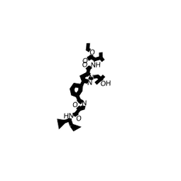 CCOC(=O)[C@@H](NC(=O)c1cc(-c2cccc(-c3ncc(C(=O)NC(C4CC4)C4CC4)o3)c2)nn1CC(C)(C)O)C(C)C